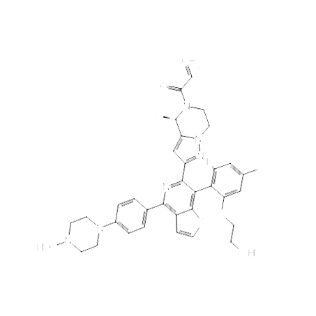 C=CC(=O)N1CCn2nc(-c3nc(-c4ccc(N5CCN(C)CC5)cc4)c4ccsc4c3-c3c(F)cc(F)cc3OCCO)cc2[C@H]1C